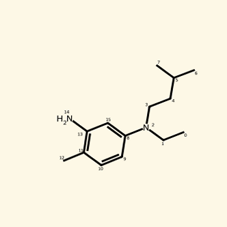 CCN(CCC(C)C)c1ccc(C)c(N)c1